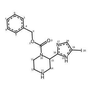 O=C(OCc1ccccc1)N1CCNCC1c1ncc(I)[nH]1